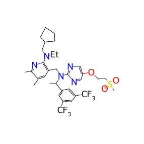 CCN(CC1CCCC1)c1nc(C)c(C)cc1CN(c1ncc(OCCS(C)(=O)=O)cn1)C(C)c1cc(C(F)(F)F)cc(C(F)(F)F)c1